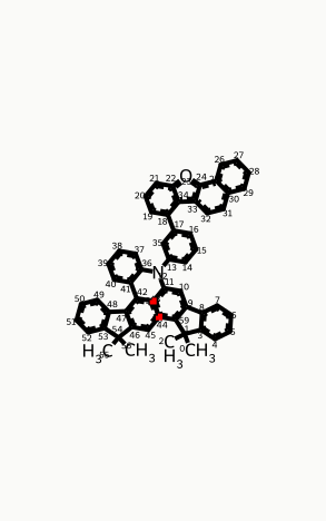 CC1(C)c2ccccc2-c2cc(N(c3cccc(-c4cccc5oc6c7ccccc7ccc6c45)c3)c3ccccc3-c3cccc4c3-c3ccccc3C4(C)C)ccc21